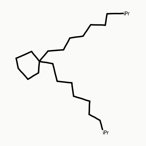 CC(C)CCCCCCCC1(CCCCCCCC(C)C)CCCCC1